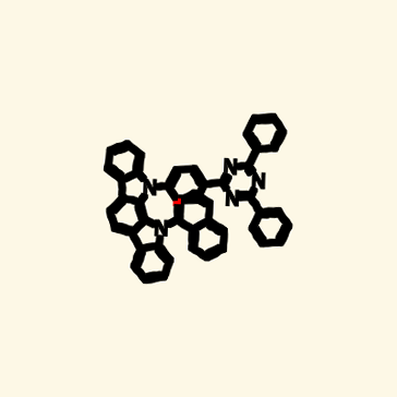 c1ccc(-c2nc(-c3ccccc3)nc(-c3ccc(-n4c5ccccc5c5ccc6c7ccccc7n(-c7cccc8ccccc78)c6c54)cc3)n2)cc1